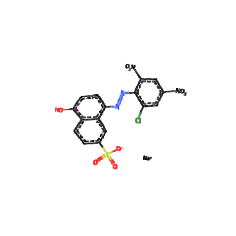 O=[N+]([O-])c1cc(Cl)c(N=Nc2ccc(O)c3ccc(S(=O)(=O)[O-])cc23)c([N+](=O)[O-])c1.[Na+]